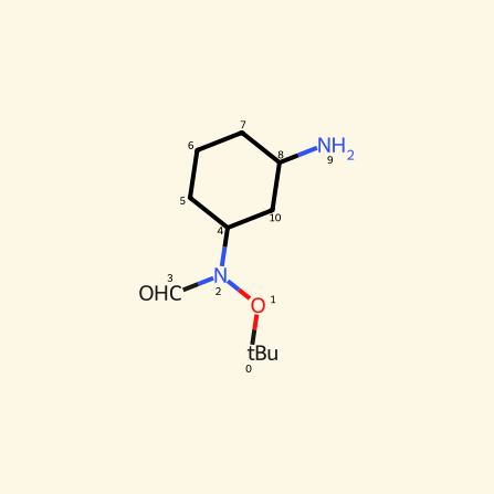 CC(C)(C)ON(C=O)C1CCCC(N)C1